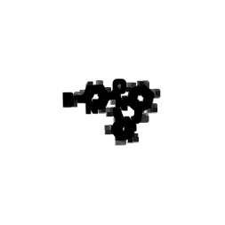 O=C(c1ccc(Br)nc1)N1Cc2cccn2Cc2ccccc21